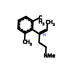 C/C=C(/CCNC)c1c(C)cccc1C